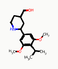 COc1cc(C2CC(CO)CCN2)cc(OC)c1C(C)C